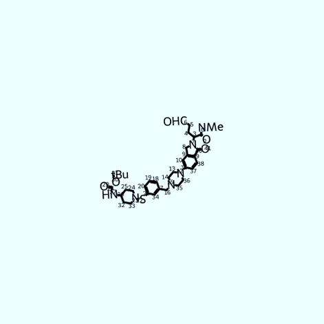 CNC(=O)C(CCC=O)N1Cc2cc(N3CCN(Cc4cccc(SN5CCC(NC(=O)OC(C)(C)C)CC5)c4)CC3)ccc2C1=O